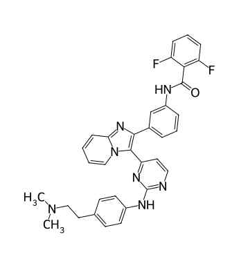 CN(C)CCc1ccc(Nc2nccc(-c3c(-c4cccc(NC(=O)c5c(F)cccc5F)c4)nc4ccccn34)n2)cc1